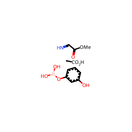 CC(=O)O.COC(=O)C=N.OB(O)Oc1cccc(O)c1